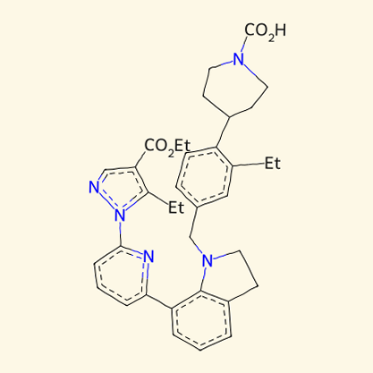 CCOC(=O)c1cnn(-c2cccc(-c3cccc4c3N(Cc3ccc(C5CCN(C(=O)O)CC5)c(CC)c3)CC4)n2)c1CC